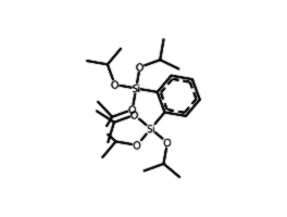 CC(C)O[Si](OC(C)C)(OC(C)C)c1ccccc1[Si](OC(C)C)(OC(C)C)OC(C)C